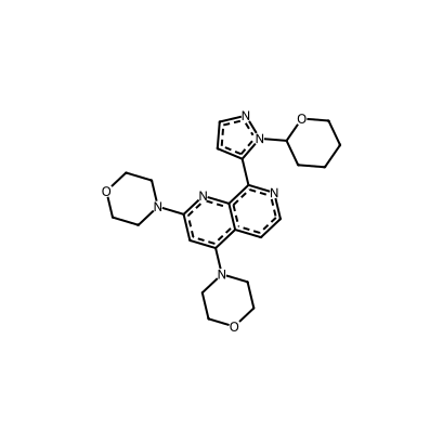 c1cc2c(N3CCOCC3)cc(N3CCOCC3)nc2c(-c2ccnn2C2CCCCO2)n1